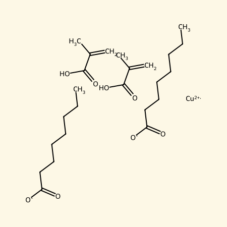 C=C(C)C(=O)O.C=C(C)C(=O)O.CCCCCCCC(=O)[O-].CCCCCCCC(=O)[O-].[Cu+2]